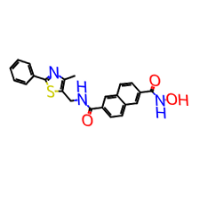 Cc1nc(-c2ccccc2)sc1CNC(=O)c1ccc2cc(C(=O)NO)ccc2c1